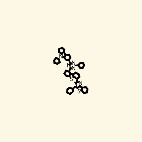 c1ccc(-c2nc(-c3ccc4c5ccccc5n(-c5ccccc5)c4c3)nc(-c3cccc4sc5c(-c6nc(-c7ccccc7)c7sc8ccccc8c7n6)cccc5c34)n2)cc1